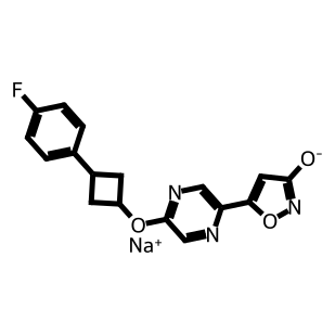 [Na+].[O-]c1cc(-c2cnc(OC3CC(c4ccc(F)cc4)C3)cn2)on1